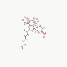 C=CCCC=CC=C(C)CCC1(c2cc(OC)c(OC)c(OC)c2)C2=CC(OC)=CCC21OC